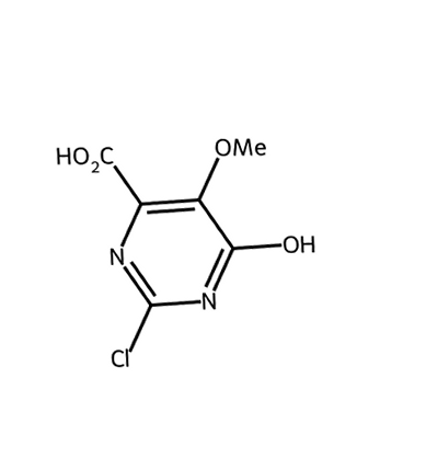 COc1c(O)nc(Cl)nc1C(=O)O